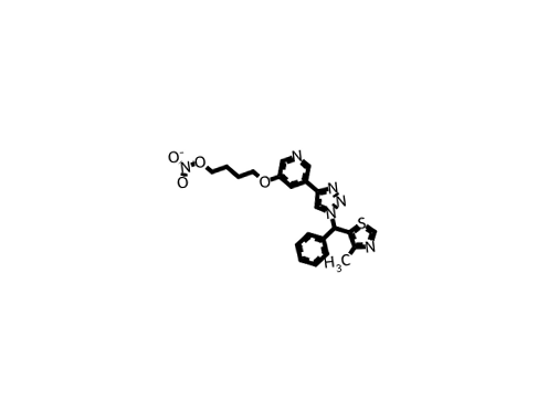 Cc1ncsc1C(c1ccccc1)n1cc(-c2cncc(OCCCCO[N+](=O)[O-])c2)nn1